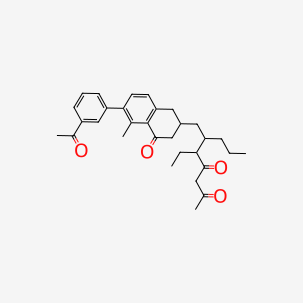 CCCC(CC1CC(=O)c2c(ccc(-c3cccc(C(C)=O)c3)c2C)C1)C(CC)C(=O)CC(C)=O